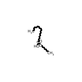 CC/C=C\C/C=C\C/C=C\CCCCCCCC(=O)OC(CO)COCCCCCCCC